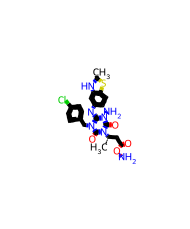 CC1Nc2cc(/N=c3\n(N)c(=O)n([C@@H](C)CC(=O)ON)c(=O)n3Cc3ccc(Cl)cc3)ccc2S1